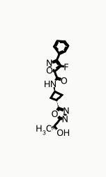 C[C@@H](O)c1nnc([C@H]2C[C@H](NC(=O)c3onc(-c4ccccc4)c3F)C2)o1